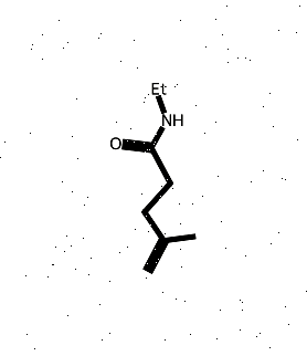 C=C(C)CCC(=O)NCC